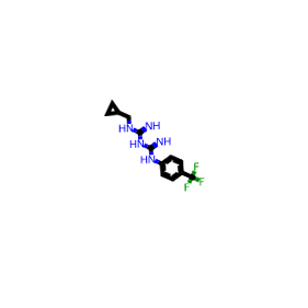 N=C(NCC1CC1)NC(=N)Nc1ccc(C(F)(F)F)cc1